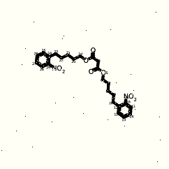 O=C(CC(=O)OCCCCCc1ccccc1[N+](=O)[O-])OCCCCCc1ccccc1[N+](=O)[O-]